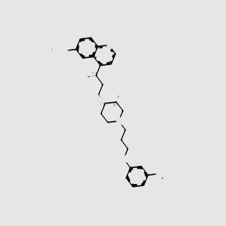 COc1ccc2nccc([C@H](F)CC[C@@H]3CCN(CCCSc4cccc(OC(F)(F)F)c4)C[C@@H]3C(=O)O)c2c1